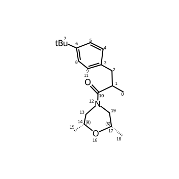 CC(Cc1ccc(C(C)(C)C)cc1)C(=O)N1C[C@@H](C)O[C@@H](C)C1